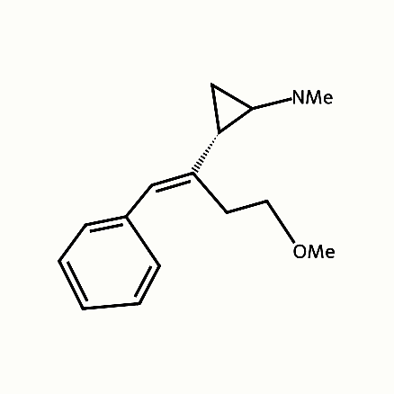 CNC1C[C@H]1/C(=C/c1ccccc1)CCOC